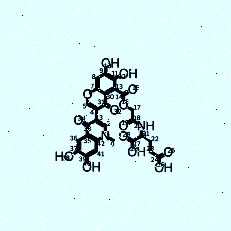 Cn1cc(-c2coc3cc(O)c(O)c(C(=O)OCC(=O)N[C@@H](CCC(=O)O)C(=O)O)c3c2=O)c(=O)c2cc(O)c(O)cc21